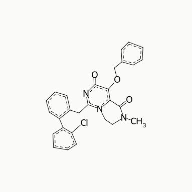 CN1CCn2c(Cc3ccccc3-c3ccccc3Cl)nc(=O)c(OCc3ccccc3)c2C1=O